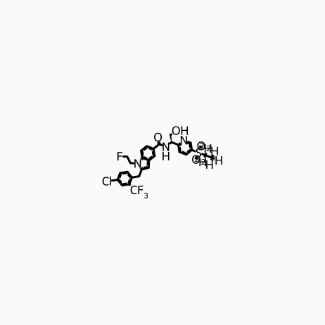 [2H]C([2H])([2H])C([2H])([2H])S(=O)(=O)c1ccc([C@H](CO)NC(=O)c2ccc3c(c2)cc(Cc2ccc(Cl)cc2C(F)(F)F)n3CCF)nc1